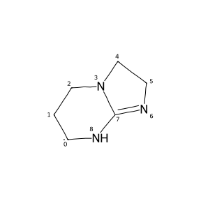 [CH]1CCN2CCN=C2N1